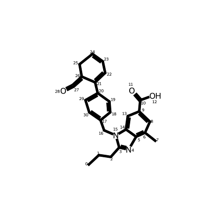 CCCc1nc2c(C)cc(C(=O)O)cc2n1Cc1ccc(C2=CC=CCC2=C=O)cc1